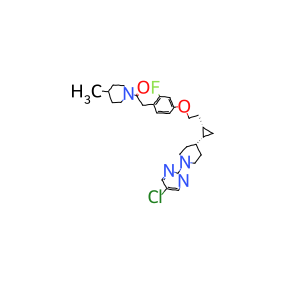 CC1CCN(C(=O)Cc2ccc(OCC[C@@H]3C[C@@H]3C3CCN(c4ncc(Cl)cn4)CC3)cc2F)CC1